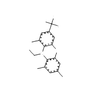 CCN1c2c(C)cc(C)cc2Sc2cc(C(F)(F)F)cc(C)c21